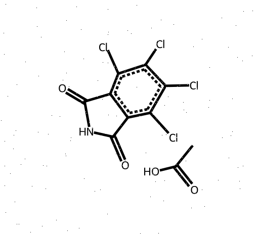 CC(=O)O.O=C1NC(=O)c2c(Cl)c(Cl)c(Cl)c(Cl)c21